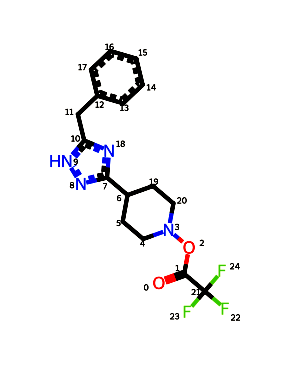 O=C(ON1CCC(c2n[nH]c(Cc3ccccc3)n2)CC1)C(F)(F)F